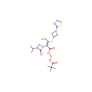 CC/C(SC1CN(C2=NCCS2)C1)=C(/C(=O)OCOC(=O)C(C)(C)C)N1CC(C(C)C)C1=O